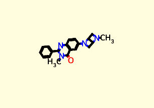 CN1CC2C1CN2c1ccc2nc(-c3ccccc3)n(C)c(=O)c2c1